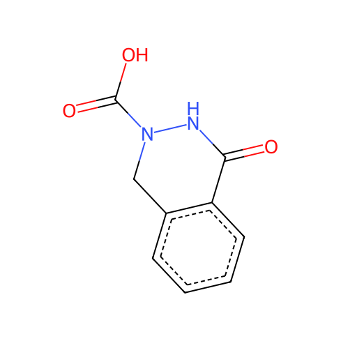 O=C1NN(C(=O)O)Cc2ccccc21